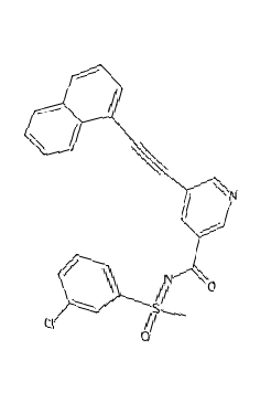 CS(=O)(=NC(=O)c1cncc(C#Cc2cccc3ccccc23)c1)c1cccc(Cl)c1